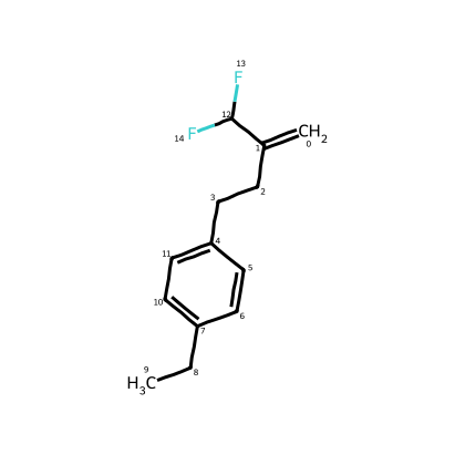 C=C(CCc1ccc(CC)cc1)C(F)F